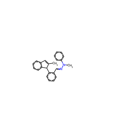 CC1=Cc2ccccc2C1c1ccccc1C=NN(C)c1ccccc1